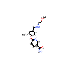 COc1cc(CNCCOC(C)C)ccc1Oc1ccc(C(N)=O)cn1